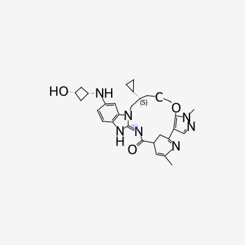 CC1=CC2CC(=N1)c1cnn(C)c1OCCC[C@@H](C1CC1)CN1/C(=N/C2=O)Nc2ccc(N[C@H]3C[C@@H](O)C3)cc21